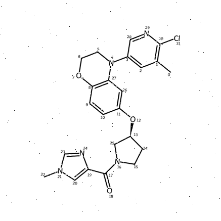 Cc1cc(N2CCOc3ccc(O[C@H]4CCN(C(=O)c5cn(C)cn5)C4)cc32)cnc1Cl